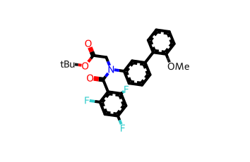 COc1ccccc1-c1cccc(N(CC(=O)OC(C)(C)C)C(=O)c2c(F)cc(F)cc2F)c1